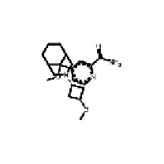 COC1(c2ccnc(C(N)=O)c2)C2CCCC1CN([C@H]1C[C@H](OC)C1)C2